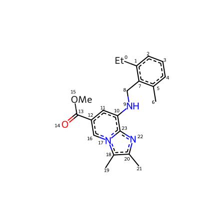 CCc1cccc(C)c1CNc1cc(C(=O)OC)cn2c(C)c(C)nc12